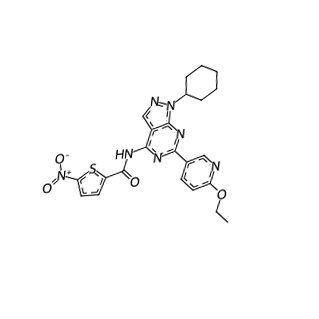 CCOc1ccc(-c2nc(NC(=O)c3ccc([N+](=O)[O-])s3)c3cnn(C4CCCCC4)c3n2)cn1